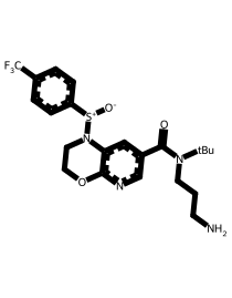 CC(C)(C)N(CCCN)C(=O)c1cnc2c(c1)N([S+]([O-])c1ccc(C(F)(F)F)cc1)CCO2